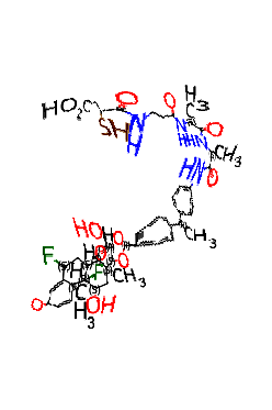 C[C@@H](c1ccc(NC(=O)[C@H](C)NC(=O)[C@H](C)NC(=O)CCNC(=O)C(S)CC(=O)O)cc1)c1ccc([C@@H]2O[C@@H]3C[C@H]4[C@@H]5C[C@H](F)C6=CC(=O)C=C[C@]6(C)[C@@]5(F)[C@@H](O)C[C@]4(C)[C@]3(C(=O)CO)O2)cc1